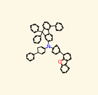 C1=CC(c2ccccc2)CC=C1N(c1ccc(-c2cccc3c2oc2ccccc23)cc1)c1ccc2c(c1)C(c1ccccc1)(c1ccccc1)c1cccc(-c3ccccc3)c1-2